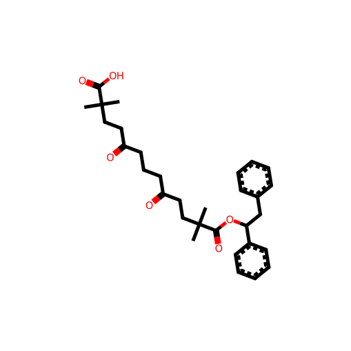 CC(C)(CCC(=O)CCCC(=O)CCC(C)(C)C(=O)OC(Cc1ccccc1)c1ccccc1)C(=O)O